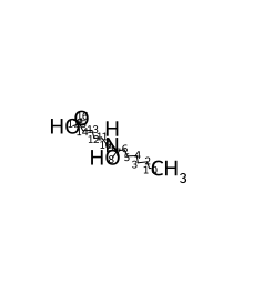 CCCCCCCC(O)NCCCCCC(=O)O